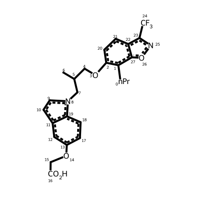 CCCc1c(OCC(C)Cn2ccc3cc(OCC(=O)O)ccc32)ccc2c(C(F)(F)F)noc12